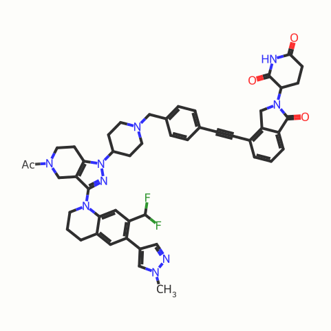 CC(=O)N1CCc2c(c(N3CCCc4cc(-c5cnn(C)c5)c(C(F)F)cc43)nn2C2CCN(Cc3ccc(C#Cc4cccc5c4CN(C4CCC(=O)NC4=O)C5=O)cc3)CC2)C1